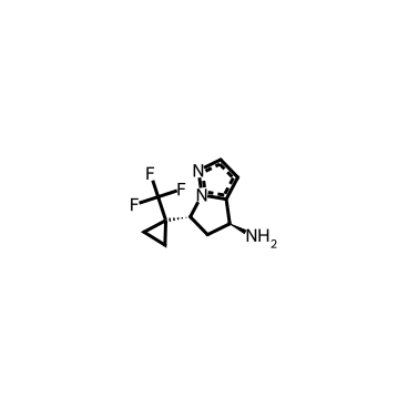 N[C@H]1C[C@H](C2(C(F)(F)F)CC2)n2nccc21